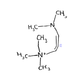 CN(C)/C=C\[N+](C)(C)C